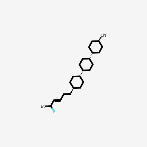 CCC(F)/C=C/CC[C@H]1CC[C@H](C2CCC([C@H]3CC[C@H](C#N)CC3)CC2)CC1